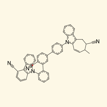 CC1C=Cc2c(c3ccccc3n2-c2ccc(-c3ccc(C#N)c(-c4ccccc4-n4c5c(c6ccccc64)C(C#N)=C=C=C5)c3)cc2)CC1C#N